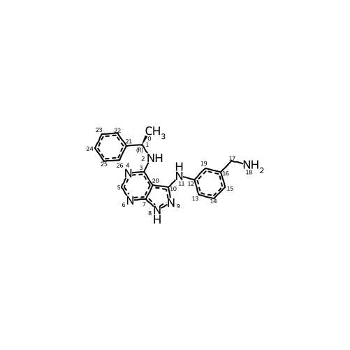 C[C@@H](Nc1ncnc2[nH]nc(Nc3cccc(CN)c3)c12)c1ccccc1